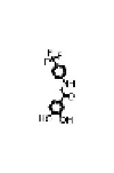 O=C(CNc1ccc(C(F)(F)F)cc1)c1ccc(O)c(O)c1